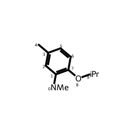 CNc1cc(C)ccc1OC(C)C